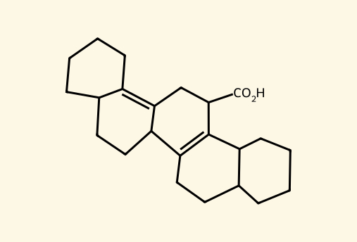 O=C(O)C1CC2=C3CCCCC3CCC2C2=C1C1CCCCC1CC2